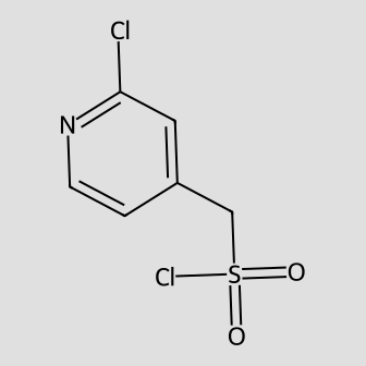 O=S(=O)(Cl)Cc1ccnc(Cl)c1